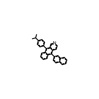 CC(C)c1ccc(-c2c3ccccc3c(-c3ccc4ccccc4c3)c3ccncc23)cc1